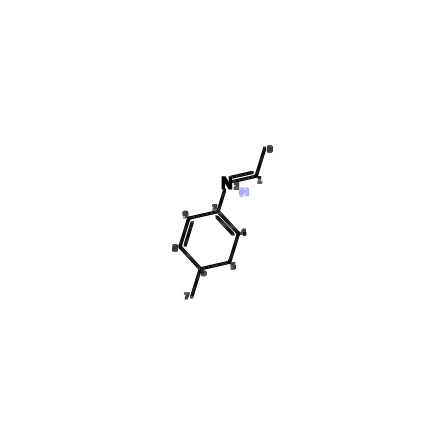 C/C=N/C1=CCC(C)C=C1